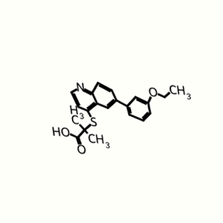 CCOc1cccc(-c2ccc3nccc(SC(C)(C)C(=O)O)c3c2)c1